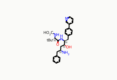 CC(C)(C)[C@H](NC(=O)O)C(=O)N[C@@H](Cc1ccc(-c2cccnc2)cc1)[C@@H](O)C[C@@H](N)Cc1ccccc1